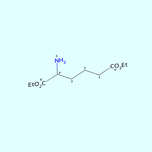 CCOC(=O)CCCC(N)C(=O)OCC